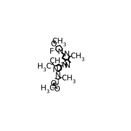 CO[C@@H]1CCN(c2cc3c(cnn3-c3cc(C(C)C)nc(N4C[C@H](CS(C)(=O)=O)[C@H]4C)c3)c(C)n2)C[C@@H]1F